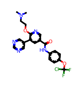 CN(C)CCOc1ncc(C(=O)Nc2ccc(OC(F)(F)Cl)cc2)cc1-c1cncnc1